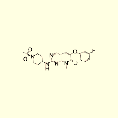 Cn1c(=O)c(Oc2cccc(F)c2)cc2cnc(NC3CCN(S(C)(=O)=O)CC3)nc21